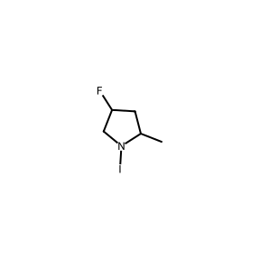 CC1CC(F)CN1I